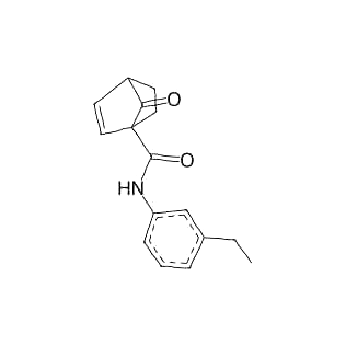 CCc1cccc(NC(=O)C23C=CC(CC2)C3=O)c1